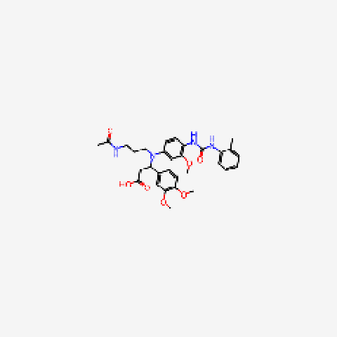 COc1cc(N(CCCNC(C)=O)C(CC(=O)O)c2ccc(OC)c(OC)c2)ccc1NC(=O)Nc1ccccc1C